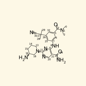 CN(C)C(=O)c1cc(Nc2nc(N3CCC[C@H](N)C3)ncc2C(N)=O)cc(C(C)(C)C#N)c1